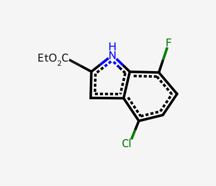 CCOC(=O)c1cc2c(Cl)ccc(F)c2[nH]1